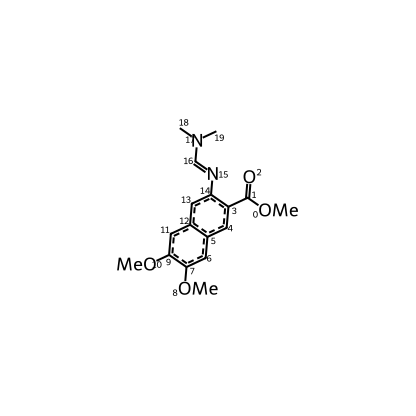 COC(=O)c1cc2cc(OC)c(OC)cc2cc1/N=C/N(C)C